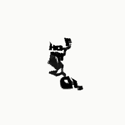 CCc1ccc2cnn(CC(O)CF)c2c1